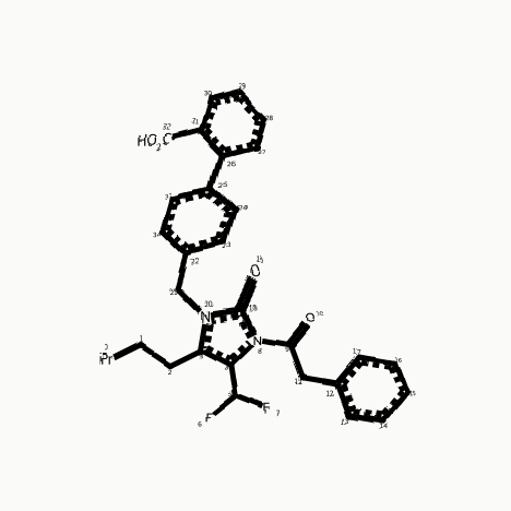 CC(C)CCc1c(C(F)F)n(C(=O)Cc2ccccc2)c(=O)n1Cc1ccc(-c2ccccc2C(=O)O)cc1